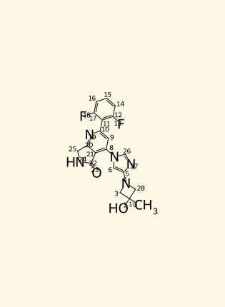 CC1(O)CN(c2cn(-c3cc(-c4c(F)cccc4F)nc4c3C(=O)NC4)cn2)C1